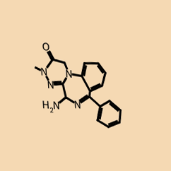 CN1N=C2C(N)N=C(c3ccccc3)c3ccccc3N2CC1=O